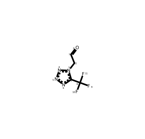 O=CCn1nnnc1C(F)(F)F